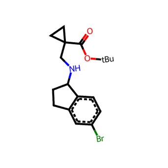 CC(C)(C)OC(=O)C1(CNC2CCc3cc(Br)ccc32)CC1